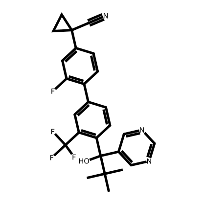 CC(C)(C)C(O)(c1cncnc1)c1ccc(-c2ccc(C3(C#N)CC3)cc2F)cc1C(F)(F)F